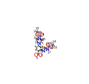 COC(=O)c1ccc(N2C[C@H](C)N(C(=O)OC(C)(C)C)[C@@H](C)C2)c2sc(N(C)C(=O)OC(C)(C)C)nc12